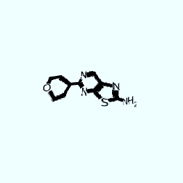 Nc1nc2cnc(C3=CCOCC3)nc2s1